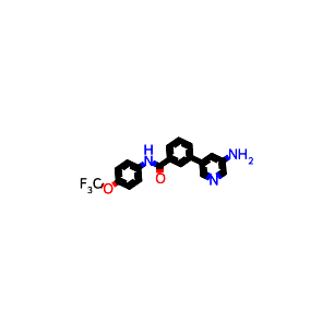 Nc1cncc(-c2cccc(C(=O)Nc3ccc(OC(F)(F)F)cc3)c2)c1